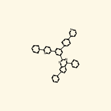 c1ccc(-c2ccc3c(-c4ccccc4)nc(-c4cc(-c5ccc(-c6cccnc6)cc5)cc(-c5ccc(-c6ccccc6)nc5)c4)nc3c2)cc1